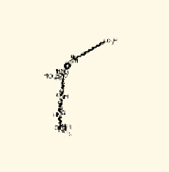 NC(=O)[C@H](CCCCNC(=O)COCCOCCNC(=O)COCCOCCNC(=O)[C@H](CS(=O)(=O)O)NC(=O)[C@H]1CC[C@H](CNC(=O)CCCCCCCCCCCCCCCS(=O)(=O)O)CC1)NI